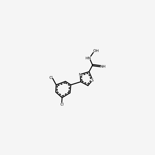 N=C(NO)c1nc(-c2cc(Cl)cc(Cl)c2)cs1